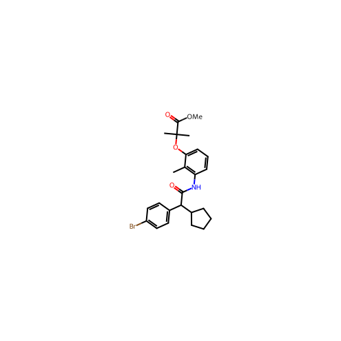 COC(=O)C(C)(C)Oc1cccc(NC(=O)C(c2ccc(Br)cc2)C2CCCC2)c1C